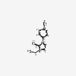 CCc1ccc(-n2cnn(C[S])c2=O)cc1